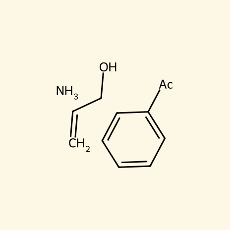 C=CCO.CC(=O)c1ccccc1.N